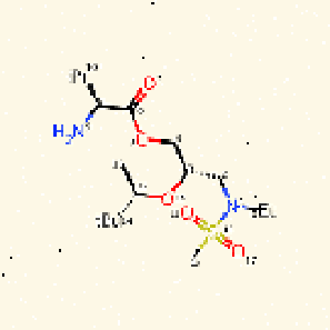 CCN(C[C@@H](COC(=O)[C@@H](N)C(C)C)O[C@@H](C)C(C)(C)C)S(C)(=O)=O